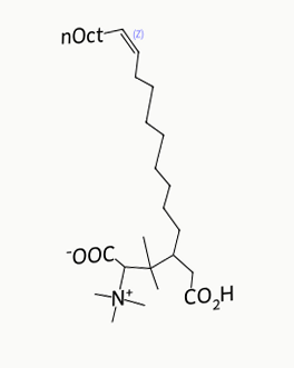 CCCCCCCC/C=C\CCCCCCCCC(CC(=O)O)C(C)(C)C(C(=O)[O-])[N+](C)(C)C